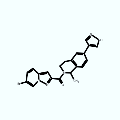 CC1c2ccc(-c3cn[nH]c3)cc2CCN1C(=O)c1cc2ccc(Br)cn2n1